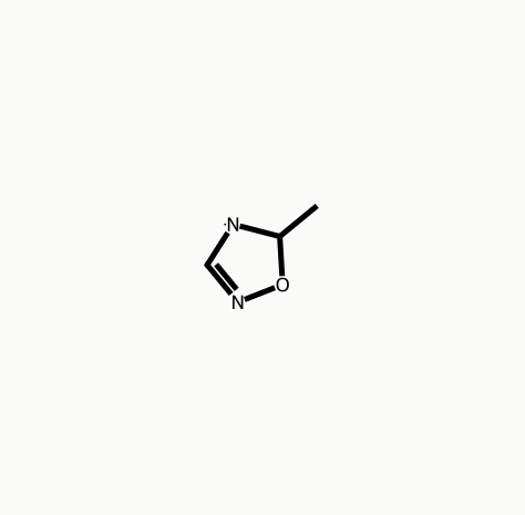 CC1[N]C=NO1